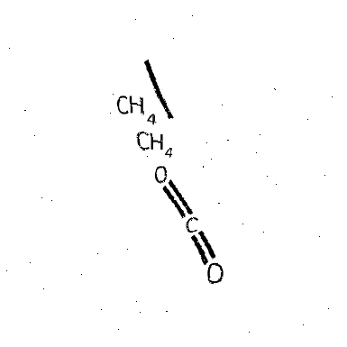 C.C.CC.O=C=O